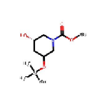 CC(C)(C)OC(=O)N1CC(O[Si](C)(C)C(C)(C)C)C[C@H](O)C1